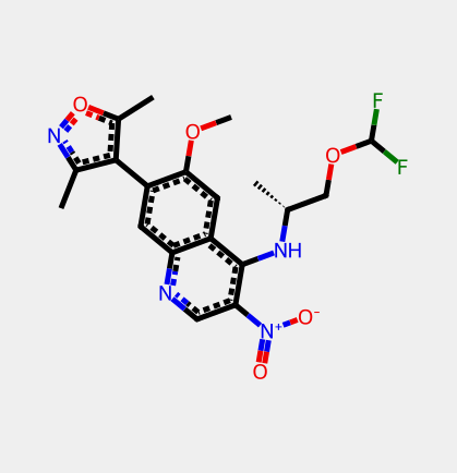 COc1cc2c(N[C@H](C)COC(F)F)c([N+](=O)[O-])cnc2cc1-c1c(C)noc1C